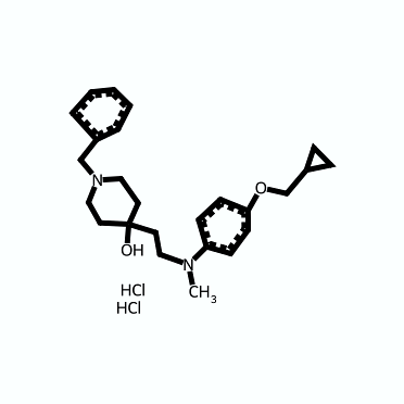 CN(CCC1(O)CCN(Cc2ccccc2)CC1)c1ccc(OCC2CC2)cc1.Cl.Cl